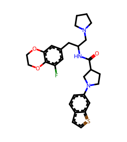 O=C(NC(Cc1cc(F)c2c(c1)OCCO2)CN1CCCC1)C1CCN(c2ccc3ccsc3c2)C1